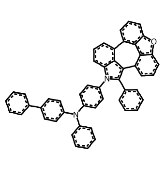 c1ccc(-c2ccc(N(c3ccccc3)c3ccc(-n4c(-c5ccccc5)c5c6c(cccc64)-c4cccc6oc7cccc-5c7c46)cc3)cc2)cc1